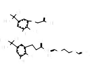 C=COCCOC=C.Cc1cc(C(C)(C)C)cc(CCC(=O)O)c1O.Cc1cc(C(C)(C)C)cc(CCC(=O)O)c1O